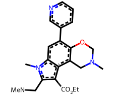 CCOC(=O)c1c(CNC)n(C)c2cc(-c3cccnc3)c3c(c12)CN(C)CO3